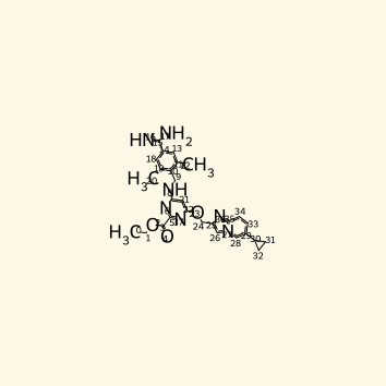 CCOC(=O)c1nc(NCc2c(C)cc(C(=N)N)cc2C)cc(OCc2cn3cc(C4CC4)ccc3n2)n1